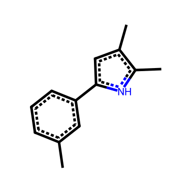 Cc1cccc(-c2cc(C)c(C)[nH]2)c1